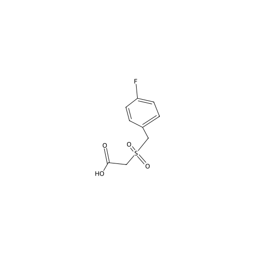 O=C(O)CS(=O)(=O)Cc1ccc(F)cc1